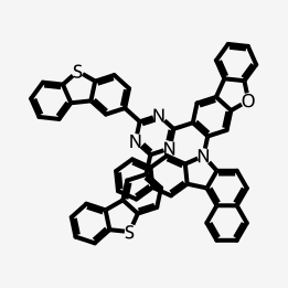 c1ccc2cc3c(cc2c1)c1c2ccccc2ccc1n3-c1cc2oc3ccccc3c2cc1-c1nc(-c2ccc3sc4ccccc4c3c2)nc(-c2ccc3sc4ccccc4c3c2)n1